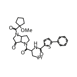 COC1(C(=O)N2CC(=O)C3C2CCN3C(=O)C(CC(C)C)NC(=O)c2ccc(-c3ccccc3)s2)CCCC1